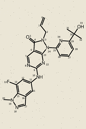 C=CCn1c(=O)c2cnc(Nc3cc(F)c4c(cnn4C)c3)nc2n1-c1cccc(C(C)(C)O)n1